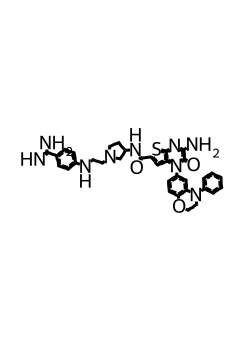 N=C(N)c1ccc(NCCN2CCC(NC(=O)c3cc4c(nc(N)c(=O)n4-c4ccc5c(c4)N(c4ccccc4)CCO5)s3)C2)cc1